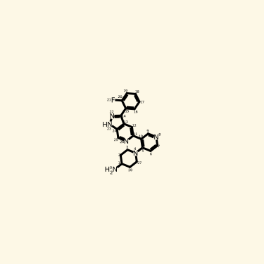 NC1CCN(c2ccncc2-c2cc3c(-c4ccccc4F)n[nH]c3cn2)CC1